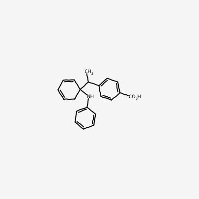 CC(c1ccc(C(=O)O)cc1)C1(Nc2ccccc2)C=CC=CC1